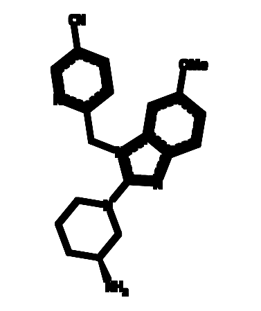 COc1ccc2nc(N3CCC[C@H](N)C3)n(Cc3ccc(C#N)cn3)c2c1